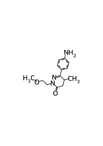 COCCN1N=C(c2ccc(N)cc2)C(C)CC1=O